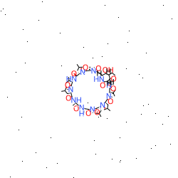 CC(C)C[C@@H]1C(=O)N[C@H](C)C(=O)N[C@@H](C)C(=O)N(C)C(=O)[C@@H](CC(C)C)N(C)[C@H](CC(C)C)C(=O)N(C)[C@H](C(C)C)C(=O)N(C)[C@@H]2C(=O)N[C@H](C(=O)N(C)[C@H](C)C(=O)N(C)[C@@H](CC(C)C)C(=O)N[C@H](C(C)C)C(=O)N1C)[C@H](O)[C@@H]1CCO[C@H]12